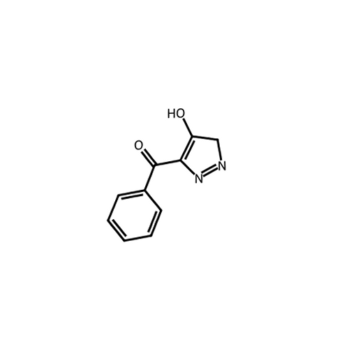 O=C(C1=C(O)CN=N1)c1ccccc1